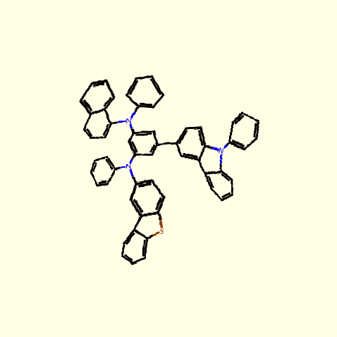 c1ccc(N(c2cc(-c3ccc4c(c3)c3ccccc3n4-c3ccccc3)cc(N(c3ccccc3)c3cccc4ccccc34)c2)c2ccc3sc4ccccc4c3c2)cc1